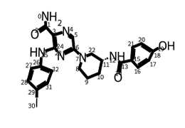 NC(=O)c1ncc(N2CCC[C@@H](NC(=O)c3ccc(O)cc3)C2)nc1Nc1ccc(I)cc1